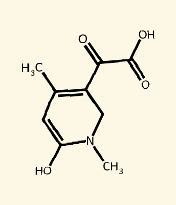 CC1=C(C(=O)C(=O)O)CN(C)C(O)=C1